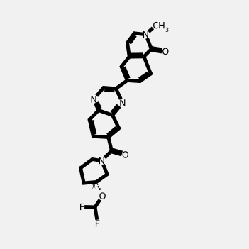 Cn1ccc2cc(-c3cnc4ccc(C(=O)N5CCC[C@@H](OC(F)F)C5)cc4n3)ccc2c1=O